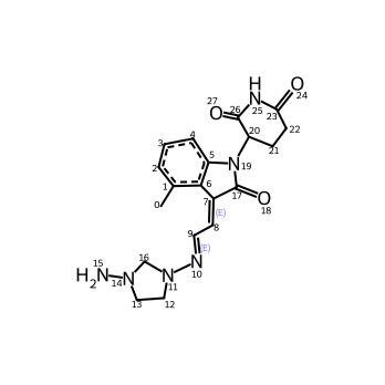 Cc1cccc2c1/C(=C\C=N\N1CCN(N)C1)C(=O)N2C1CCC(=O)NC1=O